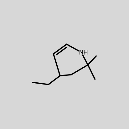 CCC1C=CNC(C)(C)C1